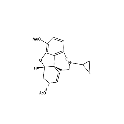 COc1ccc2c3c1O[C@H]1C[C@@H](OC(C)=O)C=C[C@@]31CCN(C1CC1)C2